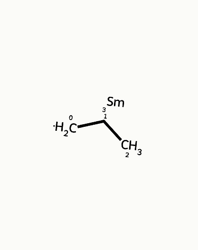 [CH2]CC.[Sm]